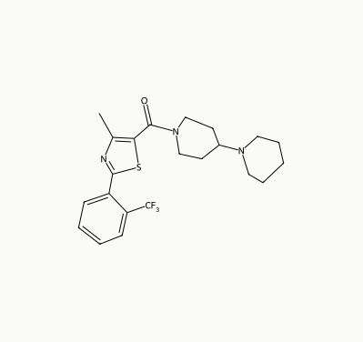 Cc1nc(-c2ccccc2C(F)(F)F)sc1C(=O)N1CCC(N2CCCCC2)CC1